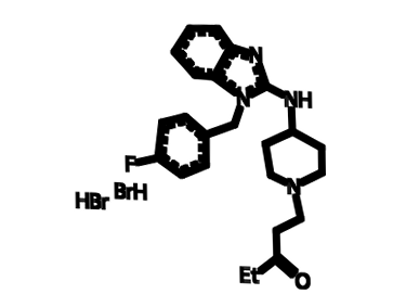 Br.Br.CCC(=O)CCN1CCC(Nc2nc3ccccc3n2Cc2ccc(F)cc2)CC1